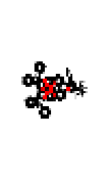 N#Cc1cc(C(F)(F)F)ccc1-c1cccc(-n2c3ccccc3c3cc4c5ccccc5n(-c5ccccc5)c4cc32)c1-c1c(C#N)cccc1-n1c2ccccc2c2cc3c4ccccc4n(-c4ccccc4)c3cc21